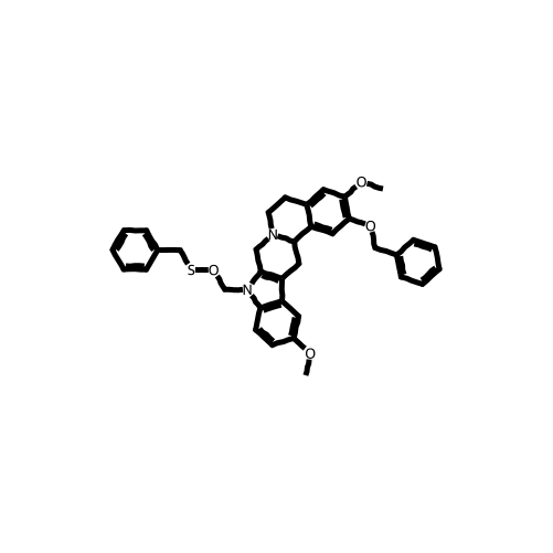 COc1ccc2c(c1)c1c(n2COSCc2ccccc2)CN2CCc3cc(OC)c(OCc4ccccc4)cc3C2C1